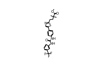 COC(=O)C(C)(C)CCc1ncc(-c2ccc(NC(=O)Nc3cccc(C(F)(F)F)c3)cc2)s1